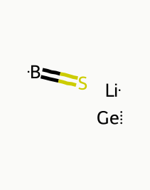 [B]=S.[Ge].[Li]